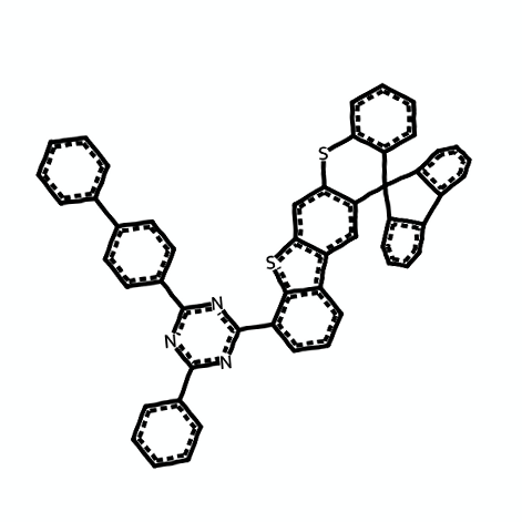 c1ccc(-c2ccc(-c3nc(-c4ccccc4)nc(-c4cccc5c4sc4cc6c(cc45)C4(c5ccccc5S6)c5ccccc5-c5ccccc54)n3)cc2)cc1